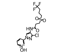 O=C(CCS(=O)(=O)CCCC(F)(F)F)Nc1cn(-c2ccc[n+](O)c2)nc1Cl